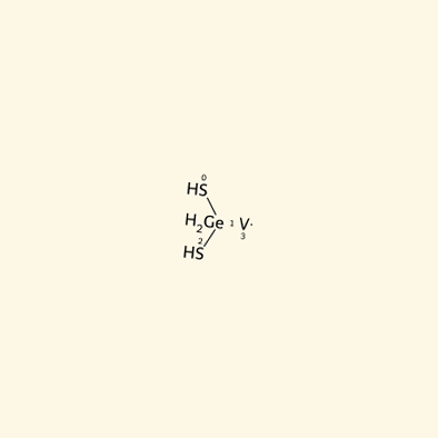 [SH][GeH2][SH].[V]